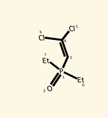 CCP(=O)(C=C(Cl)Cl)CC